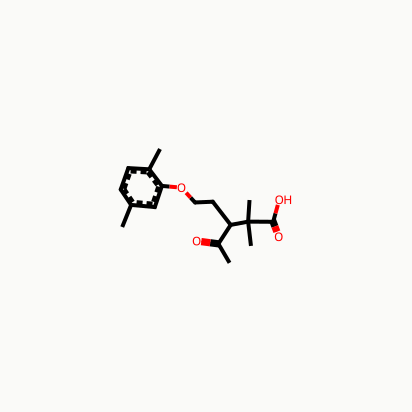 CC(=O)C(CCOc1cc(C)ccc1C)C(C)(C)C(=O)O